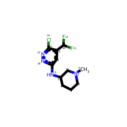 CN1CCCC(Nc2cc(C(F)F)c(Cl)nn2)C1